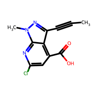 CC#Cc1nn(C)c2nc(Cl)cc(C(=O)O)c12